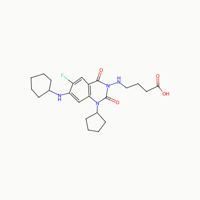 O=C(O)CCCNn1c(=O)c2cc(F)c(NC3CCCCC3)cc2n(C2CCCC2)c1=O